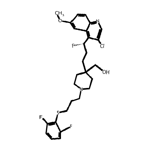 COc1ccc2ncc(Cl)c([C@@H](F)CCC3(CO)CCN(CCCSc4c(F)cccc4F)CC3)c2c1